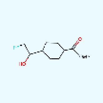 COC(=O)C1CCC(C(O)CF)CC1